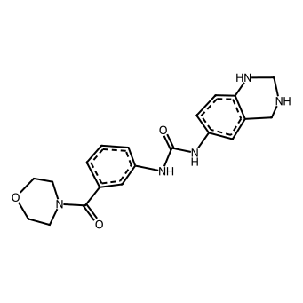 O=C(Nc1cccc(C(=O)N2CCOCC2)c1)Nc1ccc2c(c1)CNCN2